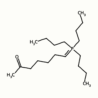 CCCCP(=CCCCCC(C)=O)(CCCC)CCCC